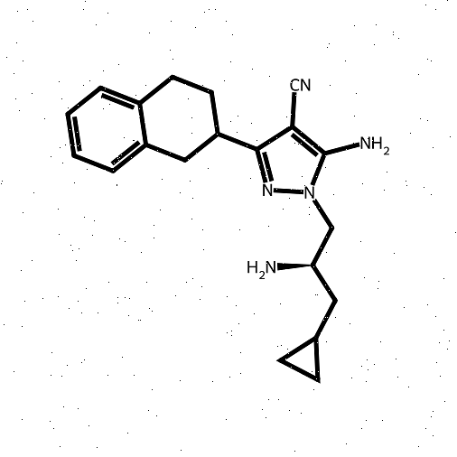 N#Cc1c(C2CCc3ccccc3C2)nn(C[C@H](N)CC2CC2)c1N